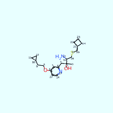 CC(O)(Cc1cc(OCCC2CC2)ccn1)C(N)CSCC1CCC1